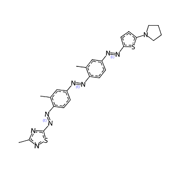 Cc1nsc(/N=N/c2ccc(/N=N/c3ccc(/N=N/c4ccc(N5CCCC5)s4)cc3C)cc2C)n1